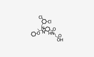 CC(Oc1ccccc1)c1nc2cc(C(=O)NCCC(=O)O)ccc2n1Cc1cc(Cl)cc(Cl)c1